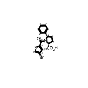 O=C(O)[C@H]1CC[C@H](c2ccccc2)N1C(=O)c1cc(Br)cs1